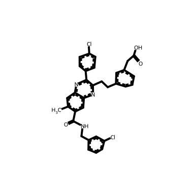 Cc1cc2nc(-c3ccc(Cl)cc3)c(CCc3cccc(CC(=O)O)c3)nc2cc1C(=O)NCc1cccc(Cl)c1